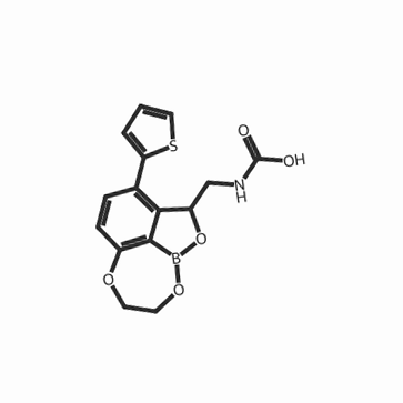 O=C(O)NCC1OB2OCCOc3ccc(-c4cccs4)c1c32